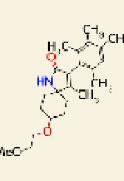 COCCOC1CCC2(CC1)NC(=O)C(c1c(C)cc(C)c(C)c1C)=C2C